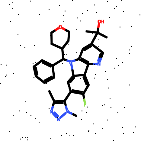 Cc1nnn(C)c1-c1cc2c(cc1F)c1ncc(C(C)(C)O)cc1n2C(c1ccccc1)C1CCOCC1